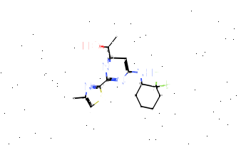 Cc1csc(-c2nc(NC3CCCCC3(F)F)cc(C(C)O)n2)n1